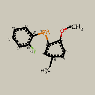 COc1ccc(C)cc1Pc1ccccc1F